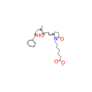 COC(=O)CCCCCCN1C(=O)CC[C@@H]1C=C[C@@H](O)[C@H](C)CC#Cc1ccccc1